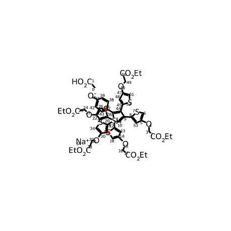 CC(=O)O.CCOC(=O)COc1csc(C2=C[SH](c3cc(OCC(=O)OCC)cs3)(c3cc(OCC(=O)OCC)cs3)(c3cc(OCC(=O)OCC)cs3)C(c3ccc([O-])cc3)=C2c2cc(OCC(=O)OCC)cs2)c1.[Na+]